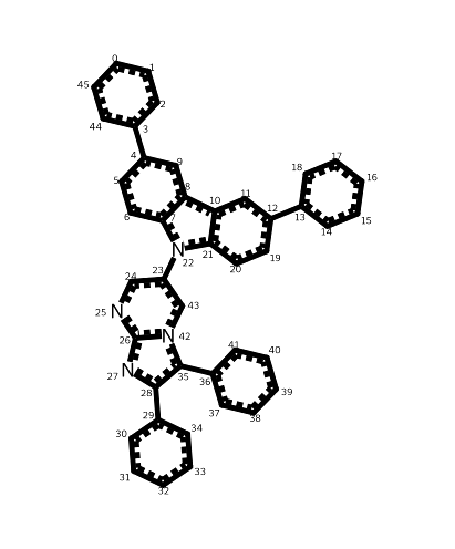 c1ccc(-c2ccc3c(c2)c2cc(-c4ccccc4)ccc2n3-c2cnc3nc(-c4ccccc4)c(-c4ccccc4)n3c2)cc1